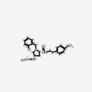 CCCCCCN[C@H]1C[C@@H](C(=O)NCCc2ccc([N+](=O)[O-])cc2)N(Cc2ccccc2Cl)C1